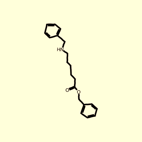 O=C(CCCCCNCc1ccccc1)OCc1ccccc1